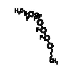 CCCCCc1ccc(-c2ccc(-c3ccc(-c4ccc(C(F)(F)Oc5ccc(SCC)c(F)c5)cc4)c(F)c3)c(F)c2)cc1